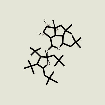 C[C@H]1C2C(OC3(CC(C)(C)C)OC(CC(C)(C)C)C(C(C)(C)C)C3C(C)(C)C)OC(CC(C)(C)C)C3C2[C@@](C)(CC3(C)C)[C@H]1C